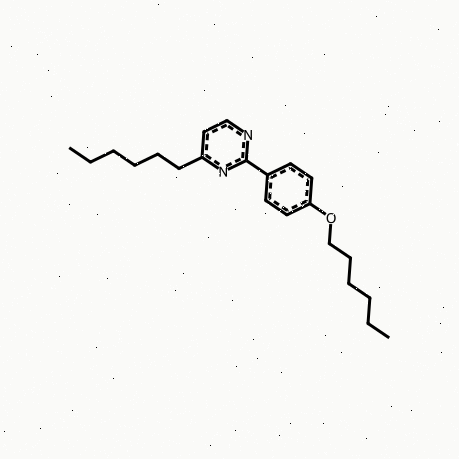 CCCCCCOc1ccc(-c2nccc(CCCCCC)n2)cc1